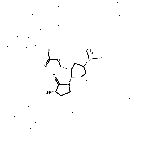 CC(C)C(=O)OC[C@@H]1C[C@H](N(C)C(C)C)CC[C@@H]1N1CC[C@H](N)C1=O